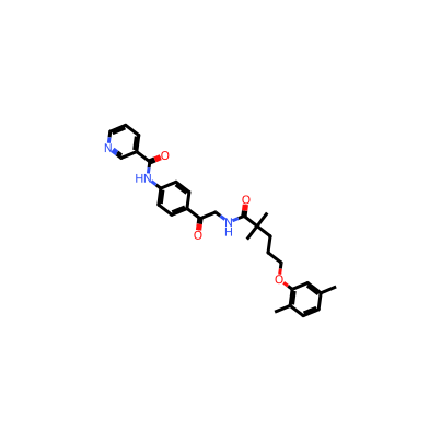 Cc1ccc(C)c(OCCCC(C)(C)C(=O)NCC(=O)c2ccc(NC(=O)c3cccnc3)cc2)c1